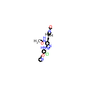 C=CC(=O)Nc1cc2c(Nc3ccc(OCc4ccccn4)c(Cl)c3)ncnc2cc1C#C[C@@H]1[C@H]2CN(C3COC3)C[C@@H]12